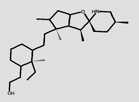 CC[C@@]1(C)C(CCO)CCCC1CC[C@@]1(C)C(C)CC2O[C@@]3(CC[C@H](C)CN3)[C@@H](C)C21